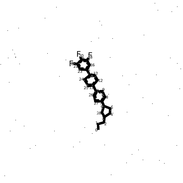 CCCC1CCC(c2ccc(-c3ccc(-c4cc(F)c(F)c(F)c4)cc3)cc2)C1